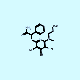 CCc1c(C#N)c(SC(C(N)=O)c2ccccc2)nc(N(C)CCOC)c1C#N